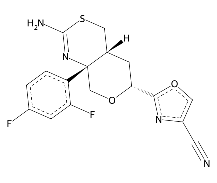 N#Cc1coc([C@H]2C[C@H]3CSC(N)=N[C@@]3(c3ccc(F)cc3F)CO2)n1